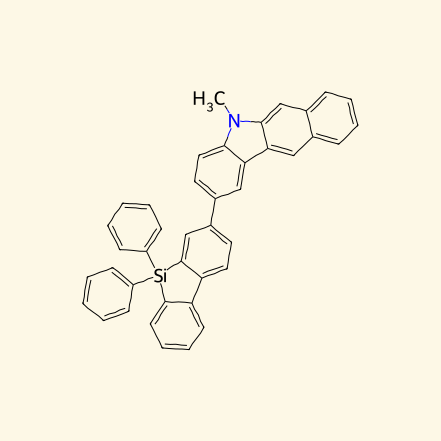 Cn1c2ccc(-c3ccc4c(c3)[Si](c3ccccc3)(c3ccccc3)c3ccccc3-4)cc2c2cc3ccccc3cc21